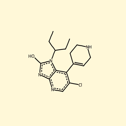 CCC(CC)n1c(O)nc2ncc(Cl)c(C3=CCNCC3)c21